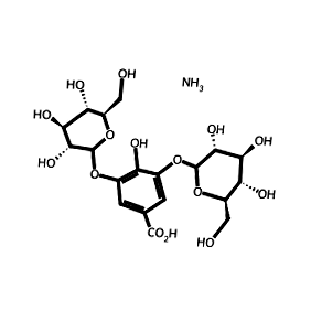 N.O=C(O)c1cc(OC2O[C@H](CO)[C@@H](O)[C@H](O)[C@H]2O)c(O)c(OC2O[C@H](CO)[C@@H](O)[C@H](O)[C@H]2O)c1